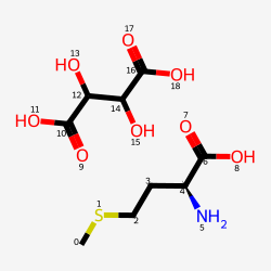 CSCC[C@H](N)C(=O)O.O=C(O)C(O)C(O)C(=O)O